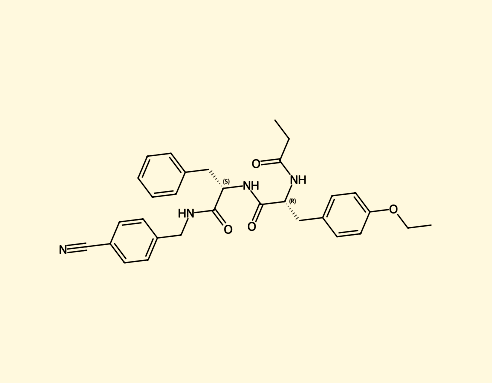 CCOc1ccc(C[C@@H](NC(=O)CC)C(=O)N[C@@H](Cc2ccccc2)C(=O)NCc2ccc(C#N)cc2)cc1